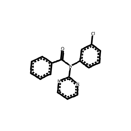 O=C(c1ccccc1)N(c1cccc(Cl)c1)c1ncccn1